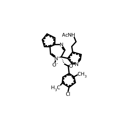 CC(=O)NCCc1ccncc1[C@]1(CC(=O)c2cc(C)c(Cl)cc2C)C=Nc2ccccc2C=[N+]1[O-]